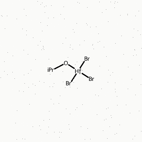 CC(C)[O][Hf]([Br])([Br])[Br]